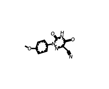 COc1ccc(-n2nc(C#N)c(=O)[nH]c2=O)cc1